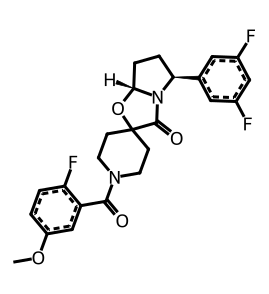 COc1ccc(F)c(C(=O)N2CCC3(CC2)O[C@@H]2CC[C@@H](c4cc(F)cc(F)c4)N2C3=O)c1